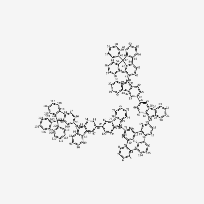 c1ccc(-c2ccccc2-c2cc(-c3cccc(-n4c5ccccc5c5cc(-c6ccc7c(c6)c6ccccc6n7-c6ccc7c(c6)C(c6ccccc6)(c6ccccc6)c6ccccc6-7)ccc54)c3)nc(-n3c4ccccc4c4cc(-c5ccc6c(c5)c5ccccc5n6-c5ccc6c(c5)C(c5ccccc5)(c5ccccc5)c5ccccc5-6)ccc43)n2)cc1